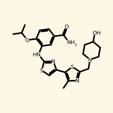 Cc1nc(CN2CCC(O)CC2)sc1-c1csc(Nc2cc(C(N)=O)ccc2OC(C)C)n1